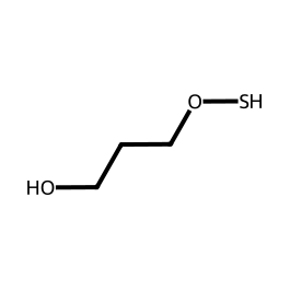 OCCCOS